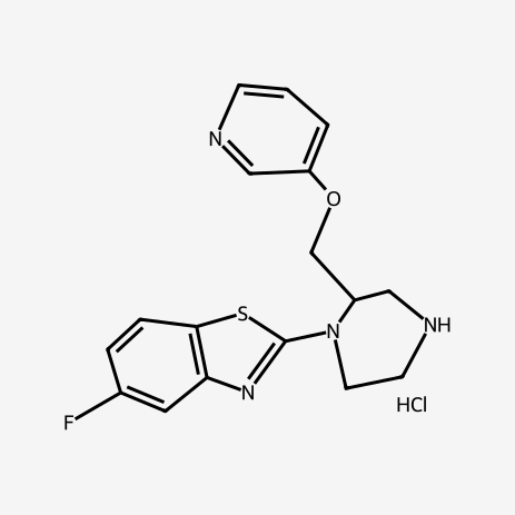 Cl.Fc1ccc2sc(N3CCNCC3COc3cccnc3)nc2c1